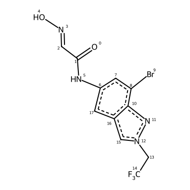 O=C(/C=N/O)Nc1cc(Br)c2nn(CC(F)(F)F)cc2c1